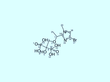 CC(OCC(O)(P(=O)(O)O)P(=O)(O)O)c1nc(Br)cn1C